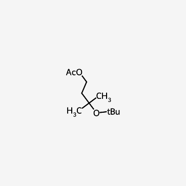 CC(=O)OCCC(C)(C)OC(C)(C)C